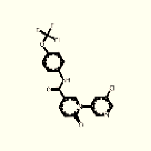 O=C(Nc1ccc(OC(F)(F)Cl)cc1)c1ccc(=O)n(-c2cncc(Cl)c2)c1